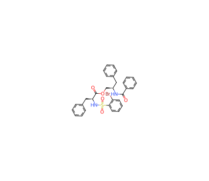 O=C(N[C@@H](COC(=O)[C@H](Cc1ccccc1)NS(=O)(=O)c1ccccc1Br)Cc1ccccc1)c1ccccc1